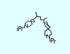 CC(CCC(C)N1CC2(CCN(C(C)C)CC2)C1)C1CC2(CCN(C(C)C)CC2)C1